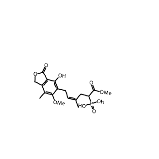 COC(=O)C(CC(C)=CCc1c(O)c2c(c(C)c1OC)COC2=O)P(=O)(O)O